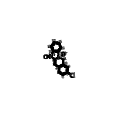 O=[N+]1C2=Cc3ccc(Cl)cc3C[N+]2([O-])c2ccccc21